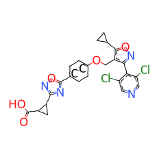 O=C(O)C1CC1c1noc(C23CCC(OCc4c(-c5c(Cl)cncc5Cl)noc4C4CC4)(CC2)CC3)n1